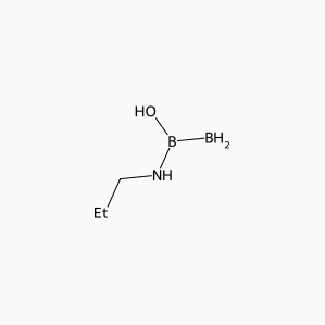 BB(O)NCCC